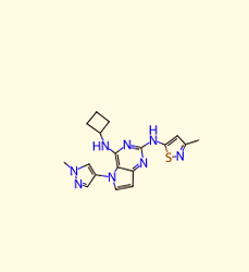 Cc1cc(Nc2nc(NC3CCC3)c3c(ccn3-c3cnn(C)c3)n2)sn1